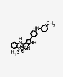 CN1CCCC(Nc2ccc(-c3cc4c(Nc5ccccc5P(C)(C)=O)ccnc4[nH]3)cc2)C1